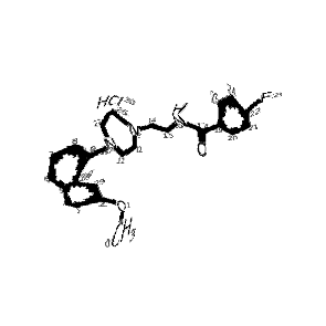 COc1ccc2cccc(N3CCN(CCNC(=O)c4ccc(F)cc4)CC3)c2c1.Cl